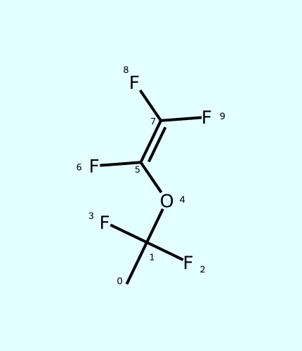 CC(F)(F)OC(F)=C(F)F